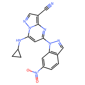 N#Cc1cnn2c(NC3CC3)cc(-n3ncc4ccc([N+](=O)[O-])cc43)nc12